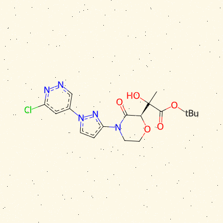 CC(C)(C)OC(=O)C(C)(O)[C@H]1OCCN(c2ccn(-c3cnnc(Cl)c3)n2)C1=O